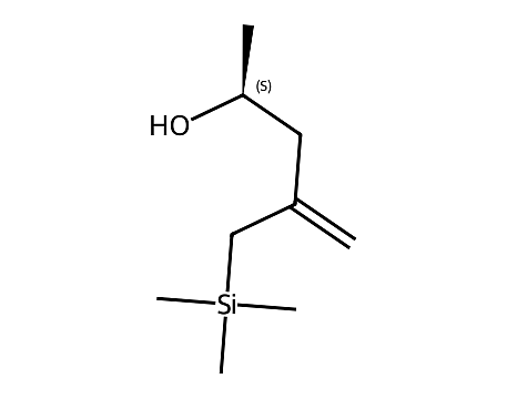 C=C(C[C@H](C)O)C[Si](C)(C)C